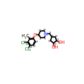 Cc1c(OC2CCN(CC3CC(O)C(O)C3)CC2)ccc(Cl)c1Cl